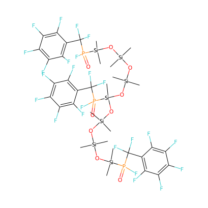 C[Si](C)(O[Si](C)(C)O[Si](C)(O[Si](C)(C)O[Si](C)(C)O[Si](C)(C)P(=O)(F)C(F)(F)c1c(F)c(F)c(F)c(F)c1F)P(=O)(F)C(F)(F)c1c(F)c(F)c(F)c(F)c1F)O[Si](C)(C)P(=O)(F)C(F)(F)c1c(F)c(F)c(F)c(F)c1F